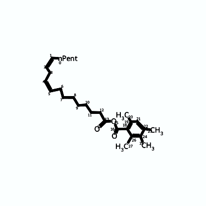 CCCCC/C=C\C/C=C\CCCCCCCC(=O)OC(=O)c1c(C)cc(C)c(C)c1C